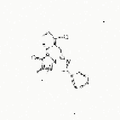 CC(=NOCc1c(Cl)cccc1-n1nnn(C)c1=O)c1ccccc1